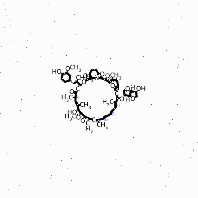 CO[C@@H]1C[C@H](C[C@@H](C)[C@@H]2CC(=O)[C@H](C)/C=C(\C)[C@@H](O)[C@@H](OC)C(=O)[C@H](C)C[C@H](C)/C=C/C=C/C=C(\C)C(O[C@@H]3CO[C@H]4[C@@H]3OC[C@@H]4O)C[C@@H]3CC[C@@H](C)[C@@](O)(O3)C(=O)C(=O)N3CCCC[C@H]3C(=O)O2)CC[C@H]1O